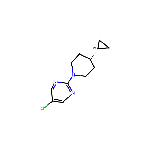 Clc1cnc(N2CCC([C@@H]3[CH]C3)CC2)nc1